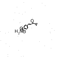 NS(=O)(=O)c1ccc(C=CC(=O)C2CC2)cc1